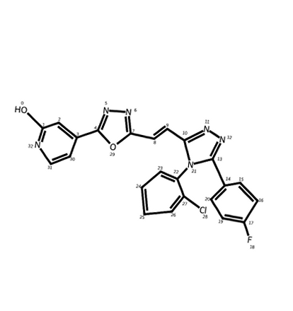 Oc1cc(-c2nnc(/C=C/c3nnc(-c4ccc(F)cc4)n3-c3ccccc3Cl)o2)ccn1